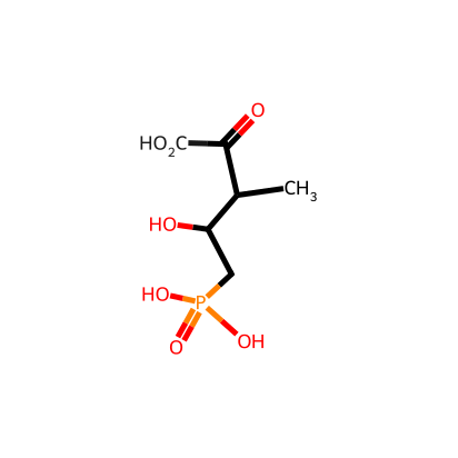 CC(C(=O)C(=O)O)C(O)CP(=O)(O)O